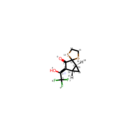 O=C1/C(=C(\O)C(F)(F)F)[C@H]2C[C@@H]2C12SCCS2